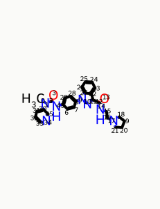 CN(C(=O)Nc1ccc(-n2nc(C(=O)NCCN3CCCC3)c3ccccc32)cc1)c1cccnc1